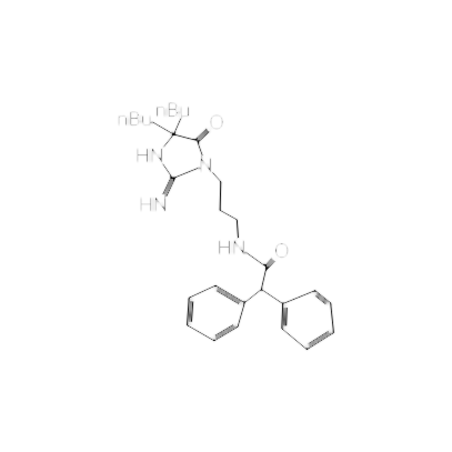 CCCCC1(CCCC)NC(=N)N(CCCNC(=O)C(c2ccccc2)c2ccccc2)C1=O